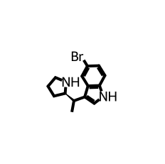 CC(c1c[nH]c2ccc(Br)cc12)[C@H]1CCCN1